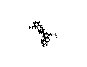 CCc1cccc(Cn2cc(-c3cc(-c4nccnc4C)nc(N)n3)nn2)n1